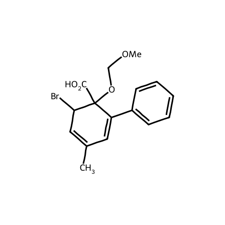 COCOC1(C(=O)O)C(c2ccccc2)=CC(C)=CC1Br